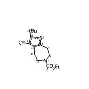 CCOC(=O)N1CCc2sc(C(C)(C)C)c(Cl)c2CC1